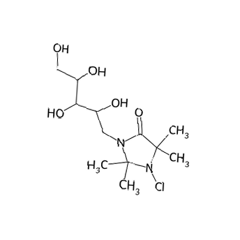 CC1(C)C(=O)N(CC(O)C(O)C(O)CO)C(C)(C)N1Cl